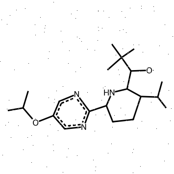 CC(C)Oc1cnc(C2CCC(C(C)C)C(C([O])C(C)(C)C)N2)nc1